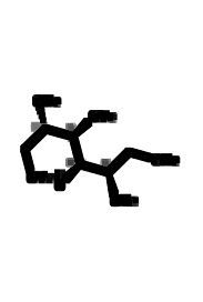 COC[C@H](OC)[C@@H](OC)[C@H](O)[C@@H](COC)OC